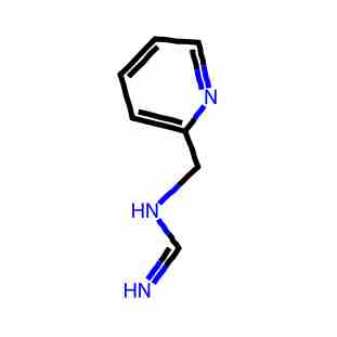 N=CNCc1ccccn1